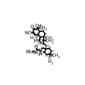 CC(=O)CC1[C@@]2(C)C=C(C#N)C(=O)C(C)(C)C2CC[C@@]1(C)C(C)(C)CC[C@@]1(CNC(=O)OC(C)(C)C)CCC(C)(C)CC1C